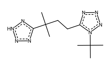 CC(C)(CCc1nnnn1C(C)(C)C)c1nn[nH]n1